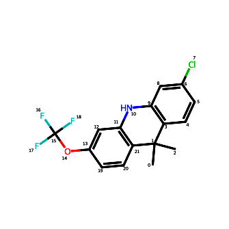 CC1(C)c2ccc(Cl)cc2Nc2cc(OC(F)(F)F)ccc21